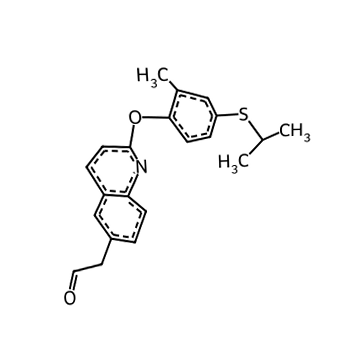 Cc1cc(SC(C)C)ccc1Oc1ccc2cc(CC=O)ccc2n1